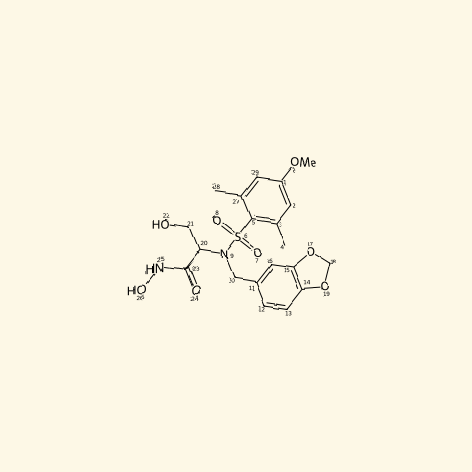 COc1cc(C)c(S(=O)(=O)N(Cc2ccc3c(c2)OCO3)C(CO)C(=O)NO)c(C)c1